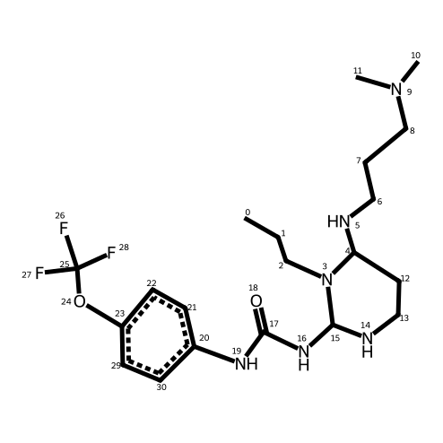 CCCN1C(NCCCN(C)C)CCNC1NC(=O)Nc1ccc(OC(F)(F)F)cc1